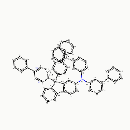 C=C(/C=C\C(=C/C)c1ccccc1)C1(c2ccc(-c3ccccc3)cc2)c2ccccc2-c2ccc(N(c3cccc(-c4ccccc4)c3)c3cccc(-c4ccccc4)c3)cc21